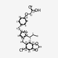 CCCc1nc(Sc2ccc(OCC(=O)O)cc2)cn1Cc1cc2c(cc1Cl)OCO2